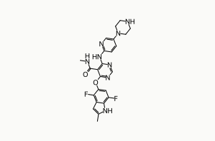 CNC(=O)c1c(Nc2ccc(N3CCNCC3)cn2)ncnc1Oc1cc(F)c2[nH]c(C)cc2c1F